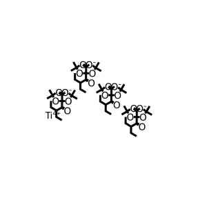 CCC(CC)C(=O)C(OC(C)(C)C)(OC(C)(C)C)C(=O)[O-].CCC(CC)C(=O)C(OC(C)(C)C)(OC(C)(C)C)C(=O)[O-].CCC(CC)C(=O)C(OC(C)(C)C)(OC(C)(C)C)C(=O)[O-].CCC(CC)C(=O)C(OC(C)(C)C)(OC(C)(C)C)C(=O)[O-].[Ti+4]